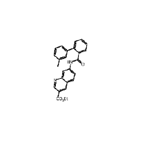 CCOC(=O)c1cnc2cc(NC(=O)c3ccccc3-c3cccc(C)c3)ccc2c1